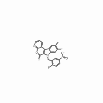 Cc1cc2c3c4cccnc4oc(=O)c3n(Cc3cc([N+](=O)[O-])ccc3F)c2cc1F